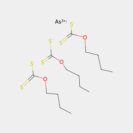 CCCCOC(=S)[S-].CCCCOC(=S)[S-].CCCCOC(=S)[S-].[As+3]